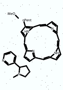 CCCCCc1cc2cc3nc(cc4ccc(cc5nc(cc1[nH]2)C=C5)[nH]4)C=C3.CN1CCCC1c1cccnc1.COC